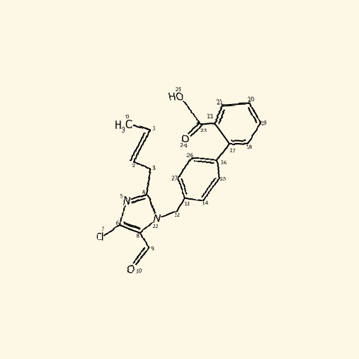 CC=CCc1nc(Cl)c(C=O)n1Cc1ccc(-c2ccccc2C(=O)O)cc1